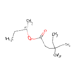 CC[C@H](C)OC(=O)CC(C)(C)C